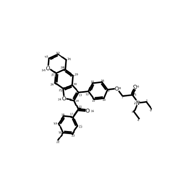 CCN(CC)C(=O)COc1ccc(-c2c(C(=O)c3ccc(C)cc3)oc3cc4c(cc23)CC=CO4)cc1